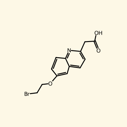 O=C(O)Cc1ccc2cc(OCCBr)ccc2n1